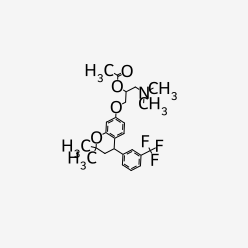 CC(=O)OC(COc1ccc2c(c1)OC(C)(C)CC2c1cccc(C(F)(F)F)c1)CN(C)C